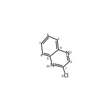 Clc1cnc2c[c]ccc2n1